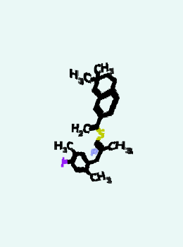 C=C(S/C=C(\C)Cc1cc(C)c(I)cc1C)c1ccc2c(c1)CC(C)(C)CC2